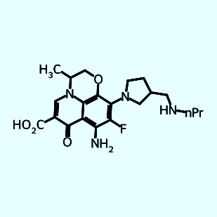 CCCNCC1CCN(c2c(F)c(N)c3c(=O)c(C(=O)O)cn4c3c2OCC4C)C1